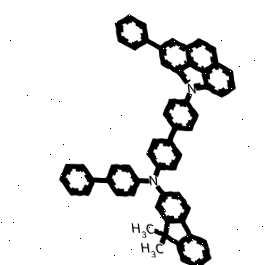 CC1(C)c2ccccc2-c2ccc(N(c3ccc(-c4ccccc4)cc3)c3ccc(-c4ccc(-n5c6cccc7ccc8cc(-c9ccccc9)cc5c8c76)cc4)cc3)cc21